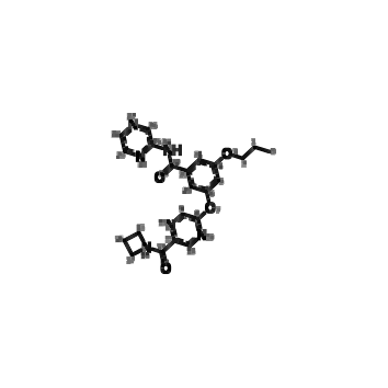 CCCOc1cc(Oc2cnc(C(=O)N3CCC3)cn2)cc(C(=O)Nc2cnccn2)c1